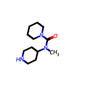 CN(C(=O)N1CCCCC1)C1CCNCC1